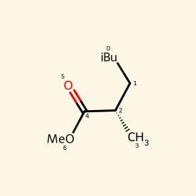 CCC(C)C[C@H](C)C(=O)OC